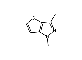 Cc1nn(C)c2ccsc12